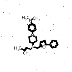 CC(C)=CCN(Cc1ccc(-c2ccccc2)o1)C1CCN(c2ccc(N(C)C)cc2)CC1